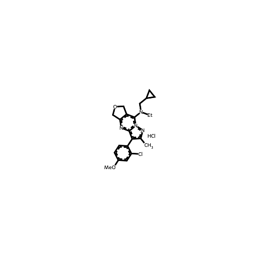 CCN(CC1CC1)c1c2c(nc3c(-c4ccc(OC)cc4Cl)c(C)nn13)COC2.Cl